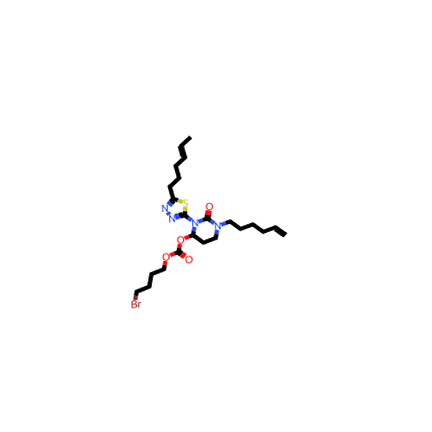 C=CCCCCN1CCC(OC(=O)OCCCCBr)N(c2nnc(CCCC=CC)s2)C1=O